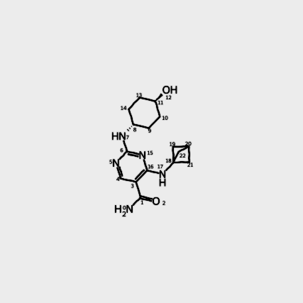 NC(=O)c1cnc(N[C@H]2CC[C@H](O)CC2)nc1NC12CC(C1)C2